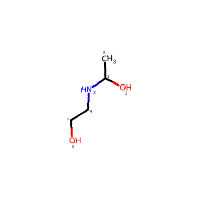 CC(O)NCCO